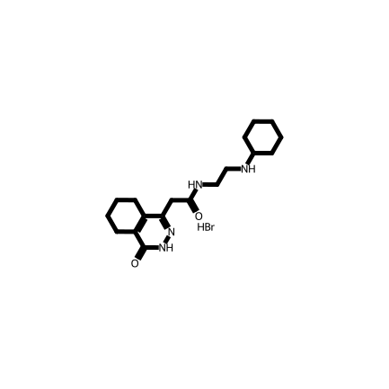 Br.O=C(Cc1n[nH]c(=O)c2c1CCCC2)NCCNC1CCCCC1